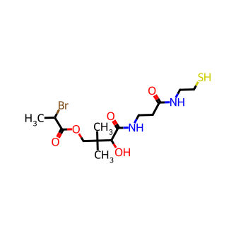 CC(Br)C(=O)OCC(C)(C)C(O)C(=O)NCCC(=O)NCCS